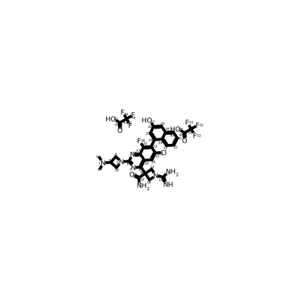 CN(C)C1CN(c2nc(C3(C(N)=O)CN(C(=N)N)C3)c3cc(Cl)c(-c4cc(O)cc5ccccc45)c(F)c3n2)C1.O=C(O)C(F)(F)F.O=C(O)C(F)(F)F